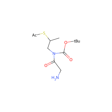 CC(=O)SC(C)CN(C(=O)CN)C(=O)OC(C)(C)C